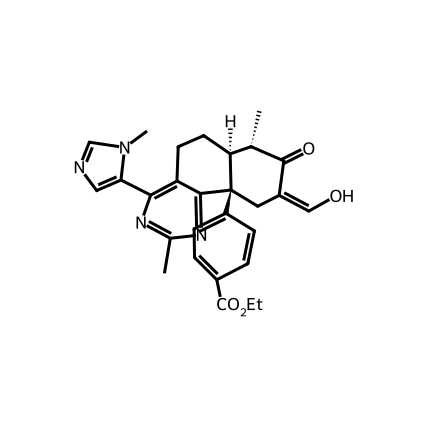 CCOC(=O)c1ccc([C@]23C/C(=C/O)C(=O)[C@@H](C)[C@@H]2CCc2c(-c4cncn4C)nc(C)nc23)cc1